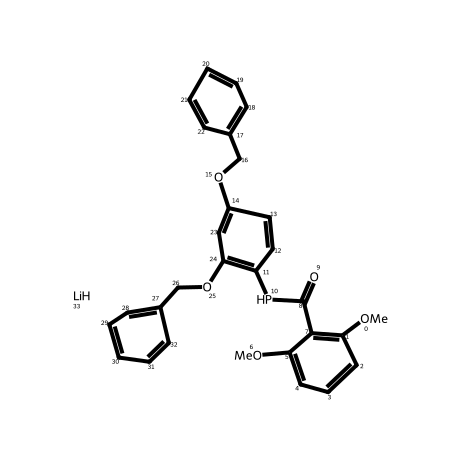 COc1cccc(OC)c1C(=O)Pc1ccc(OCc2ccccc2)cc1OCc1ccccc1.[LiH]